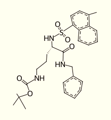 Cc1ccc(S(=O)(=O)N[C@@H](CCCNC(=O)OC(C)(C)C)C(=O)NCc2ccccc2)c2ccccc12